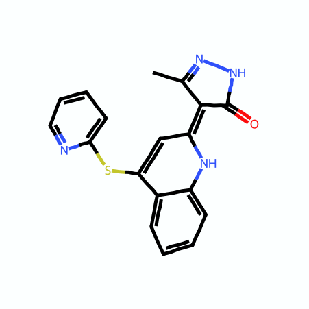 CC1=NNC(=O)/C1=C1/C=C(Sc2ccccn2)c2ccccc2N1